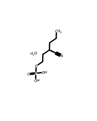 CCCC(C#N)CCOP(=O)(O)O.O